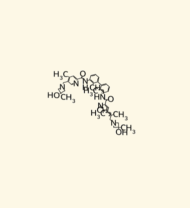 C=N/C(=C\C(C)=C(/C)CN1CC(C)(O)C1)C(=O)Nc1cccc(-c2cccc(NC(=O)c3cc(C)c(CN4CC(C)(O)C4)cn3)c2C)c1C